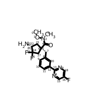 CON(C)C(=O)[C@]1(Cc2cccc(-c3ncc(F)cn3)c2)C[C@@H](N)C(F)(F)C1